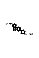 CCCCCC1CCC(c2ccc(-c3ccc(OC)cc3CC)cc2)CC1